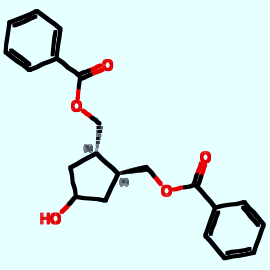 O=C(OC[C@H]1CC(O)C[C@@H]1COC(=O)c1ccccc1)c1ccccc1